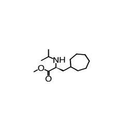 COC(=O)[C@H](CC1CCCCCC1)NC(C)C